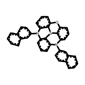 C[Si]12c3c4cccc3N(c3ccc5ccccc5c3)c3cccc(c31)N(c1ccc3ccccc3c1)c1cccc(c12)O4